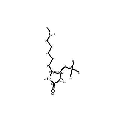 COCCCCCc1oc(=O)oc1CC(C)(C)C